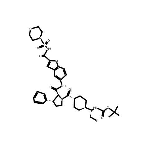 CC(C)(C)OC(=O)N[C@H](CF)[C@H]1CC[C@H](C(=O)N2CC[C@H](c3ccccc3)[C@H]2C(=O)Nc2ccc3[nH]c(C(=O)NS(=O)(=O)N4CCOCC4)cc3c2)CC1